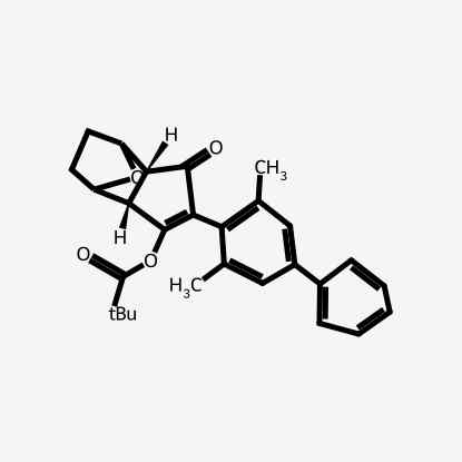 Cc1cc(-c2ccccc2)cc(C)c1C1=C(OC(=O)C(C)(C)C)[C@@H]2C3CCC(O3)[C@@H]2C1=O